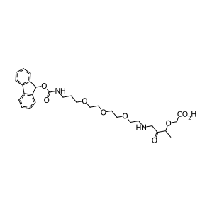 CC(OCC(=O)O)C(=O)CNCCOCCOCCOCCCNC(=O)OC1c2ccccc2-c2ccccc21